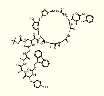 C[C@H](NC(=O)[C@H](C)NC(=O)[C@H](Cc1ccc(O)cc1)NC(=O)OCC1c2ccccc2-c2ccccc21)C(=O)NCC(=O)N[C@@H](CNC(=O)OC(C)(C)C)C(=O)N[C@H]1Cc2ccc(O)c(c2)Cc2cnc(s2)NCC(=O)NC[C@@H](C(=O)N[C@@H](Cc2ccccc2)C(N)=O)NC(=O)CNC(=O)[C@H](C)NC(=O)[C@H](C)NC1=O